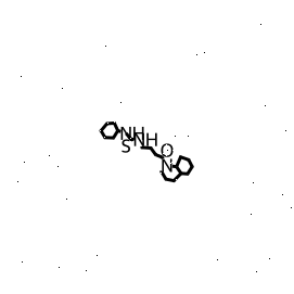 O=C(CCCNC(=S)NC1CCCCC1)N1CCCC2CCCCC21